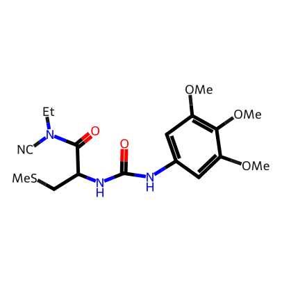 CCN(C#N)C(=O)C(CSC)NC(=O)Nc1cc(OC)c(OC)c(OC)c1